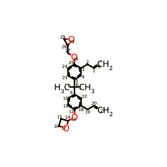 C=CCc1cc(C(C)(C)c2ccc(OC3CCO3)c(CC=C)c2)ccc1OCC1CO1